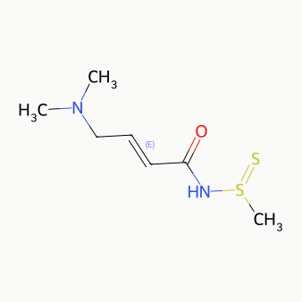 CN(C)C/C=C/C(=O)NS(C)=S